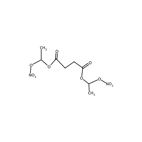 CC(OC(=O)CCC(=O)OC(C)O[N+](=O)[O-])O[N+](=O)[O-]